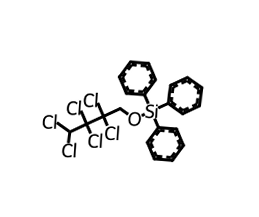 ClC(Cl)C(Cl)(Cl)C(Cl)(Cl)CO[Si](c1ccccc1)(c1ccccc1)c1ccccc1